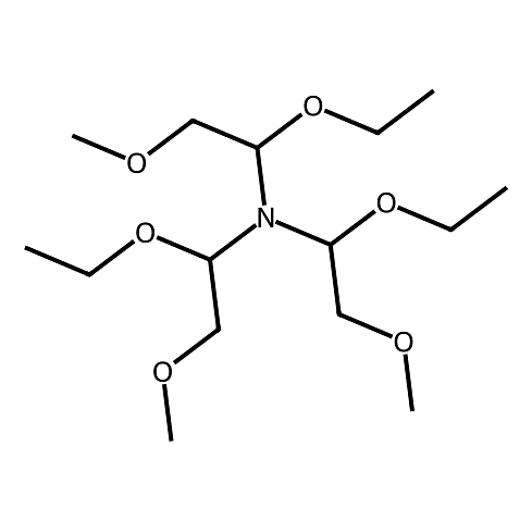 CCOC(COC)N(C(COC)OCC)C(COC)OCC